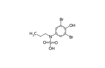 CCCN(c1cc(Br)c(O)c(Br)c1)S(=O)(=O)O